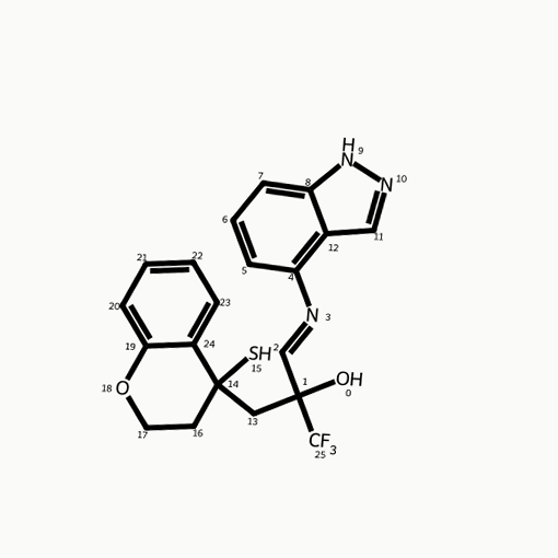 OC(C=Nc1cccc2[nH]ncc12)(CC1(S)CCOc2ccccc21)C(F)(F)F